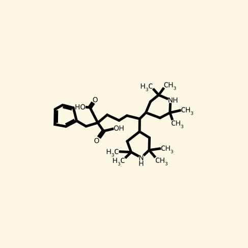 CC1(C)CC(C(CCCC(Cc2ccccc2)(C(=O)O)C(=O)O)C2CC(C)(C)NC(C)(C)C2)CC(C)(C)N1